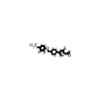 C=Cc1ccc(OCC2CCC(c3ccc(C4CO4)c(F)c3)CC2)c(F)c1F